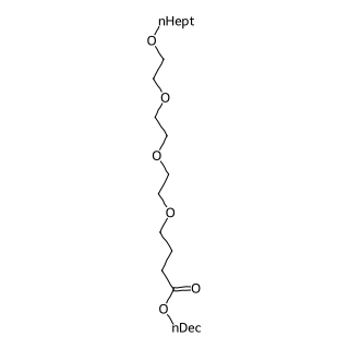 CCCCCCCCCCOC(=O)CCCOCCOCCOCCOCCCCCCC